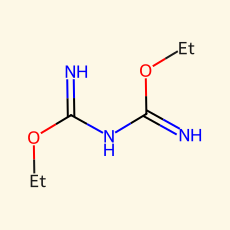 CCOC(=N)NC(=N)OCC